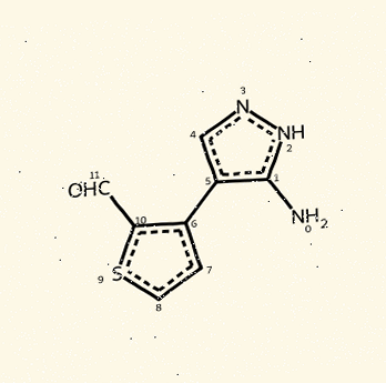 Nc1[nH]ncc1-c1ccsc1C=O